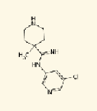 CC1(C(=N)Nc2cncc(Cl)c2)CCNCC1